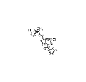 C[Si](C)(C)COCn1ccc2c(C(=O)c3cccs3)nc(Cl)nc21